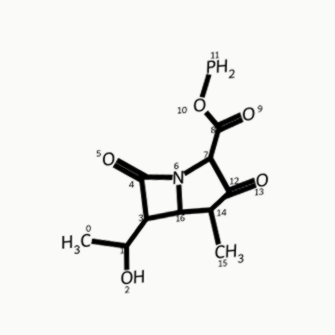 CC(O)C1C(=O)N2C(C(=O)OP)C(=O)C(C)C12